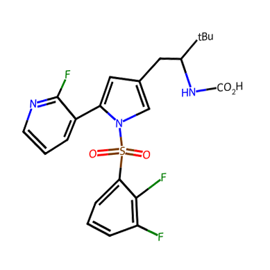 CC(C)(C)C(Cc1cc(-c2cccnc2F)n(S(=O)(=O)c2cccc(F)c2F)c1)NC(=O)O